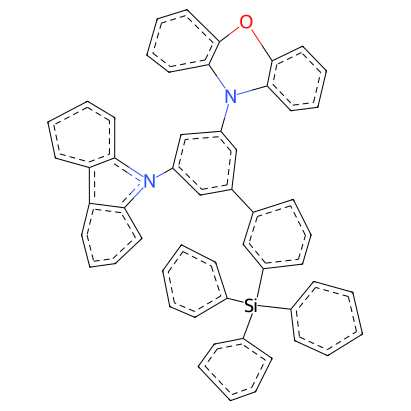 c1ccc([Si](c2ccccc2)(c2ccccc2)c2cccc(-c3cc(N4c5ccccc5Oc5ccccc54)cc(-n4c5ccccc5c5ccccc54)c3)c2)cc1